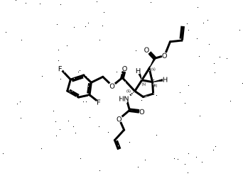 C=CCOC(=O)N[C@@]1(C(=O)OCc2cc(F)ccc2F)CC[C@H]2[C@H](C(=O)OCC=C)[C@H]21